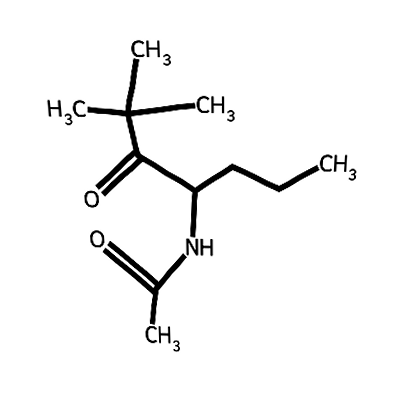 CCCC(NC(C)=O)C(=O)C(C)(C)C